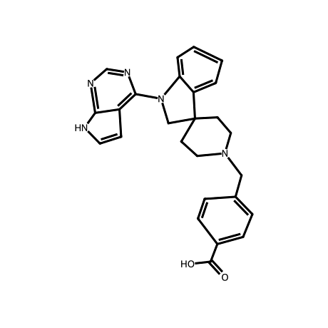 O=C(O)c1ccc(CN2CCC3(CC2)CN(c2ncnc4[nH]ccc24)c2ccccc23)cc1